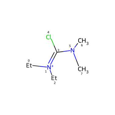 CC[N+](CC)=C(Cl)N(C)C